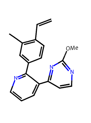 C=Cc1ccc(-c2ncccc2-c2ccnc(OC)n2)cc1C